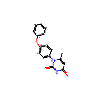 Cc1cc(=O)[nH]c(=O)n1-c1ccc(Oc2ccccc2)cc1